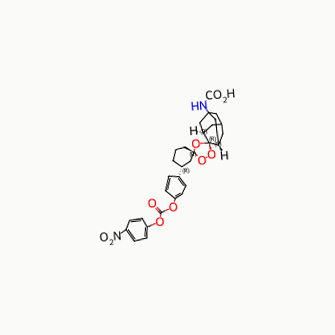 O=C(O)NC12CC3C[C@H](C1)[C@]1(OO[C@@]4(CCC[C@@H](c5ccc(OC(=O)Oc6ccc([N+](=O)[O-])cc6)cc5)C4)O1)[C@@H](C3)C2